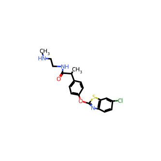 CNCCNC(=O)C(C)c1ccc(Oc2nc3ccc(Cl)cc3s2)cc1